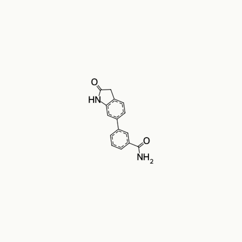 NC(=O)c1cccc(-c2ccc3c(c2)NC(=O)C3)c1